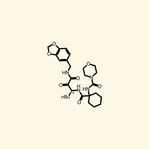 CCCC[C@H](NC(=O)C1(NC(=O)N2CCOCC2)CCCCC1)C(=O)C(=O)NCc1ccc2c(c1)OCO2